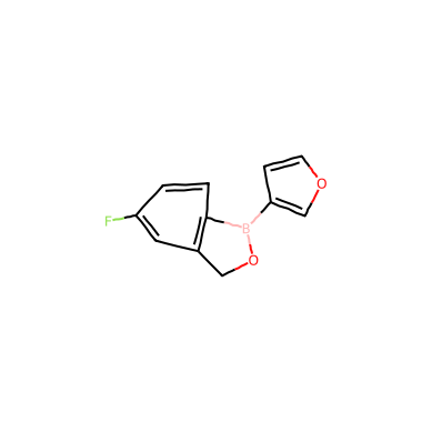 Fc1ccc2c(c1)COB2c1ccoc1